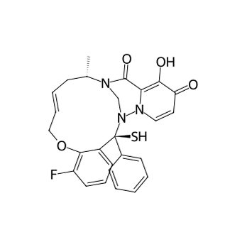 C[C@H]1C/C=C/COc2c(F)cccc2[C@@](S)(c2ccccc2)N2CN1C(=O)c1c(O)c(=O)ccn12